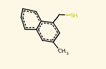 Cc1cc(CS)c2ccccc2c1